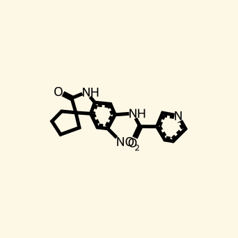 O=C(Nc1cc2c(cc1[N+](=O)[O-])C1(CCCC1)C(=O)N2)c1cccnc1